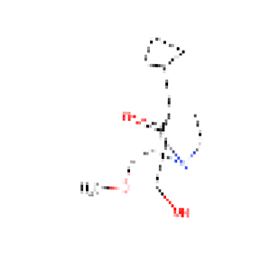 COC[C@]1(CO)C(=O)C2(C3CCC3)CCN1CC2